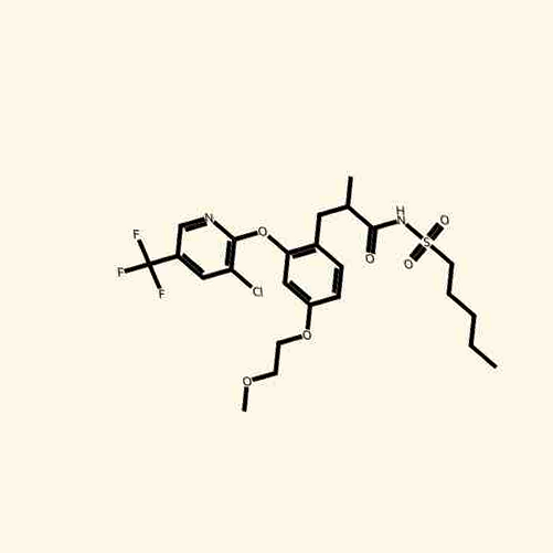 CCCCCS(=O)(=O)NC(=O)C(C)Cc1ccc(OCCOC)cc1Oc1ncc(C(F)(F)F)cc1Cl